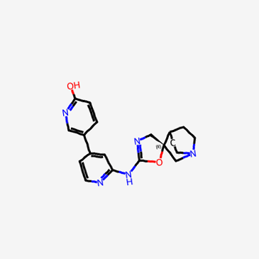 Oc1ccc(-c2ccnc(NC3=NC[C@@]4(CN5CCC4CC5)O3)c2)cn1